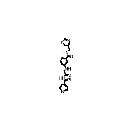 O=C(NCc1cncnc1)c1cccc(NCc2nnc(-c3ccncc3)[nH]2)c1